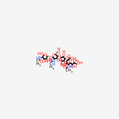 CC(=O)N[C@H]1[C@H](OC[C@H]2OC(O)[C@H](NC(C)=O)[C@@H](O)[C@H]2O)O[C@H](CO)[C@@H](O[C@@H]2O[C@H](CO)[C@H](O)[C@H](O[C@]3(C(=O)O)C[C@H](O)[C@@H](NC(C)=O)[C@H]([C@H](O)[C@H](O)CO)O3)[C@H]2O)[C@@H]1O